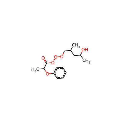 CC(O)CC(C)COOOC(=O)C(C)Oc1ccccc1